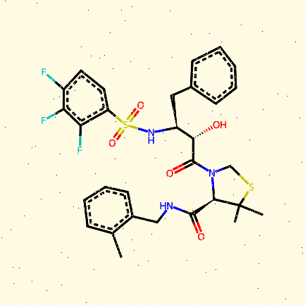 Cc1ccccc1CNC(=O)[C@H]1N(C(=O)[C@@H](O)[C@H](Cc2ccccc2)NS(=O)(=O)c2ccc(F)c(F)c2F)CSC1(C)C